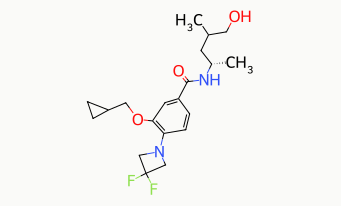 CC(CO)C[C@H](C)NC(=O)c1ccc(N2CC(F)(F)C2)c(OCC2CC2)c1